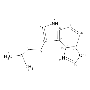 CN(C)CCc1c[nH]c2ccc3ocnc3c12